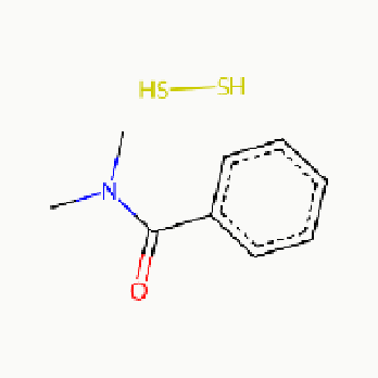 CN(C)C(=O)c1ccccc1.SS